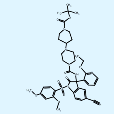 CCOc1ncccc1C1(NC(=O)N2CCN(C3CCN(C(=O)OC(C)(C)C)CC3)CC2)C(=O)N(S(=O)(=O)c2ccc(OC)cc2OC)c2ccc(C#N)cc21